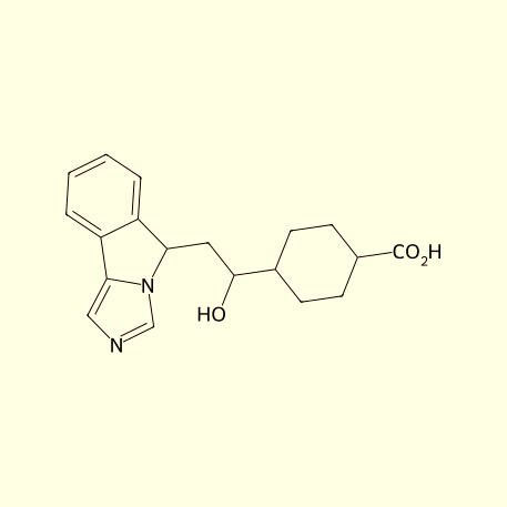 O=C(O)C1CCC(C(O)CC2c3ccccc3-c3cncn32)CC1